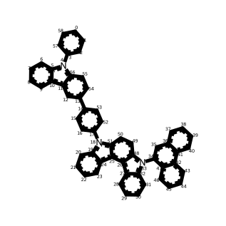 c1ccc(-n2c3ccccc3c3cc(-c4ccc(-n5c6ccccc6c6c7c8ccccc8n(-c8cc9ccccc9c9ccccc89)c7ccc65)cc4)ccc32)cc1